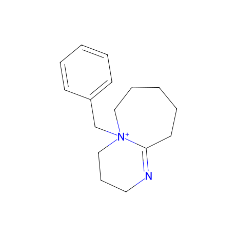 c1ccc(C[N+]23CCCCCC2=NCCC3)cc1